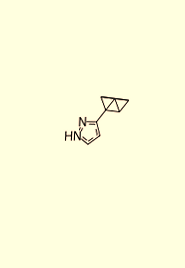 c1cc(C23C4C5C2C543)n[nH]1